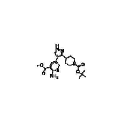 COC(=O)c1cc(-c2c[nH]nc2C2CCN(C(=O)OC(C)(C)C)CC2)cnc1N